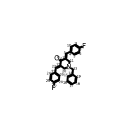 O=C1/C(=C/c2ccc(F)cc2)CN(Cc2ccccc2)C/C1=C\c1ccc(F)cc1